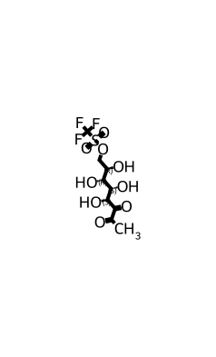 CC(=O)C(=O)[C@@H](O)[C@@H](O)[C@H](O)[C@H](O)COS(=O)(=O)C(F)(F)F